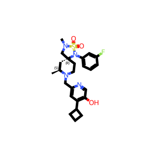 C[C@H]1C[C@]2(CCN1Cc1cc(C3CCC3)c(O)cn1)CN(C)S(=O)(=O)N2c1cccc(F)c1